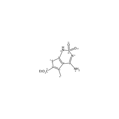 CCOC(=O)c1sc2c(c1C)C(N)=NS(=O)(=O)N2